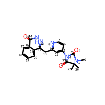 CN1C(=O)N(c2ccnc(Cc3n[nH]c(=O)c4ccccc34)c2)C(=O)C1(C)C